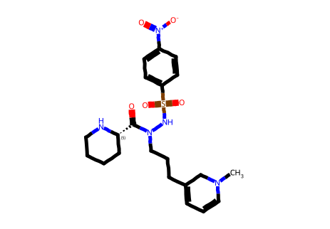 CN1C=CC=C(CCCN(NS(=O)(=O)c2ccc([N+](=O)[O-])cc2)C(=O)[C@@H]2CCCCN2)C1